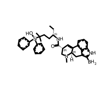 Bc1[nH]c2cccc3c2c1C[C@@H]1C3=C[C@@H](C(=O)N[C@@H](CC)CCC(C)(C)[Si](O)(c2ccccc2)c2ccccc2)CN1C